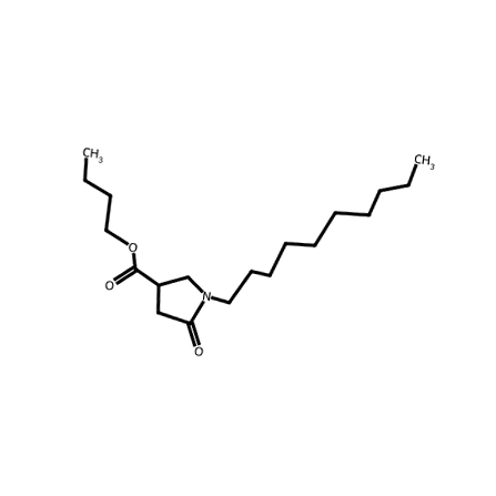 CCCCCCCCCCN1CC(C(=O)OCCCC)CC1=O